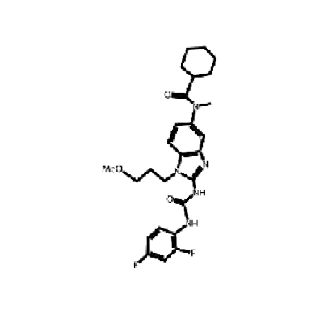 COCCCn1c(NC(=O)Nc2ccc(F)cc2F)nc2cc(N(C)C(=O)C3CCCCC3)ccc21